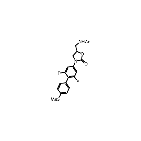 CSc1ccc(-c2c(F)cc(N3C[C@@H](CNC(C)=O)OC3=O)cc2F)cc1